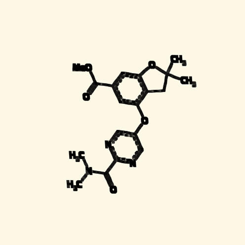 COC(=O)c1cc(Oc2cnc(C(=O)N(C)C)nc2)c2c(c1)OC(C)(C)C2